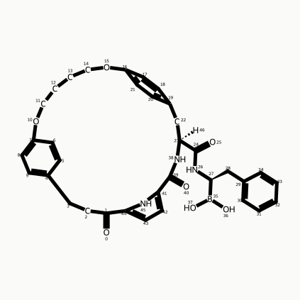 O=C1CCc2ccc(cc2)OCCCCOc2ccc(cc2)C[C@@H](C(=O)N[C@@H](Cc2ccccc2)B(O)O)NC(=O)c2ccc1[nH]2